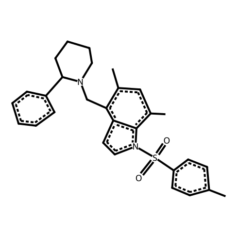 Cc1ccc(S(=O)(=O)n2ccc3c(CN4CCCCC4c4ccccc4)c(C)cc(C)c32)cc1